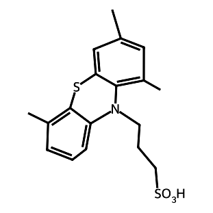 Cc1cc(C)c2c(c1)Sc1c(C)cccc1N2CCCS(=O)(=O)O